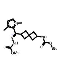 COC(=O)N/N=C(/c1c(C)ccn1C)C1CC2(CC(NC(=O)OC(C)(C)C)C2)C1